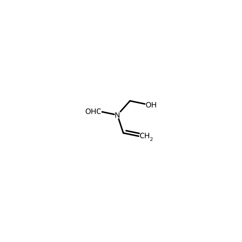 C=CN(C=O)CO